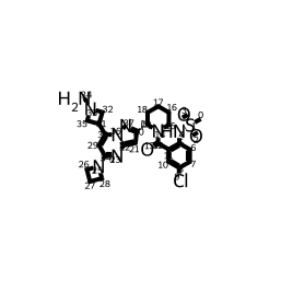 CS(=O)(=O)Nc1ccc(Cl)cc1C(=O)N1CCCC[C@H]1c1cc2nc(N3CCC3)cc(C3CN(N)C3)n2n1